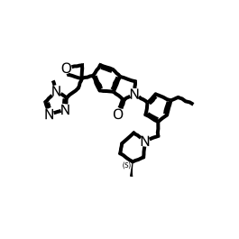 CCc1cc(CN2CCC[C@H](C)C2)cc(N2Cc3ccc(C4(Cc5nncn5C)COC4)cc3C2=O)c1